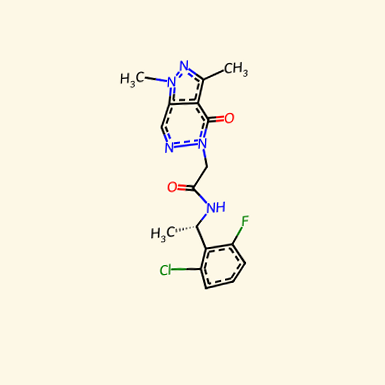 Cc1nn(C)c2cnn(CC(=O)N[C@@H](C)c3c(F)cccc3Cl)c(=O)c12